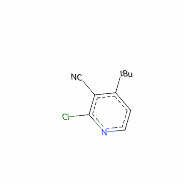 CC(C)(C)c1ccnc(Cl)c1C#N